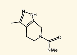 CNC(=O)N1CCc2c(C)n[nH]c2C1